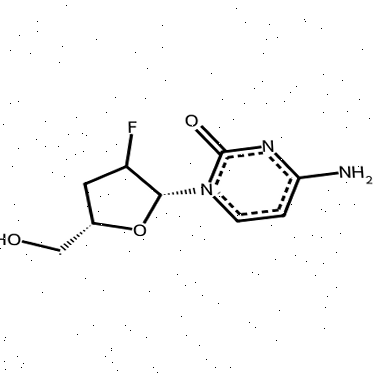 Nc1ccn([C@@H]2O[C@H]([CH]O)CC2F)c(=O)n1